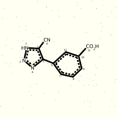 N#Cc1[nH]nnc1-c1cccc(C(=O)O)c1